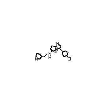 Clc1ccc(-c2cnc3ccc(NCCc4cccnc4)nn23)cc1